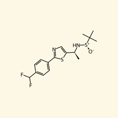 C[C@H](N[S@+]([O-])C(C)(C)C)c1cnc(-c2ccc(C(F)F)cc2)s1